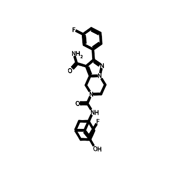 NC(=O)c1c(-c2cccc(F)c2)nn2c1CN(C(=O)NC13CC4CC(O)(CC(F)=C41)C3)CC2